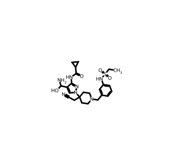 CCS(=O)(=O)Nc1cccc(CN2CCC(CC#N)(n3cc(C(N)O)c(NC(=O)C4CC4)n3)CC2)c1